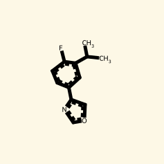 CC(C)c1cc(-c2cocn2)ccc1F